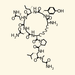 CC[C@H](C)[C@@H]1NC(=O)[C@H](Cc2ccc(O)cc2)NC(=O)[C@@H](N)CSSC[C@@H](C(=O)N2CCC[C@H]2C(=O)N[C@@H](CC(C)C)C(=O)N(C)CC(N)=O)NC(=O)[C@H](CC(N)=O)NC(=O)[C@H](CCC(N)=O)NC1=O